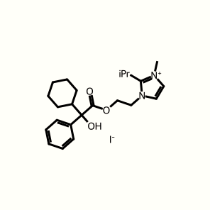 CC(C)c1n(CCOC(=O)C(O)(c2ccccc2)C2CCCCC2)cc[n+]1C.[I-]